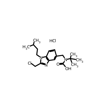 CC(C)CCn1c(CCl)nc2cc(CN(C(=O)O)C(C)(C)C)ccc21.Cl